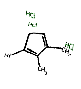 CC1=CC[C]([Hf])=C1C.Cl.Cl.Cl